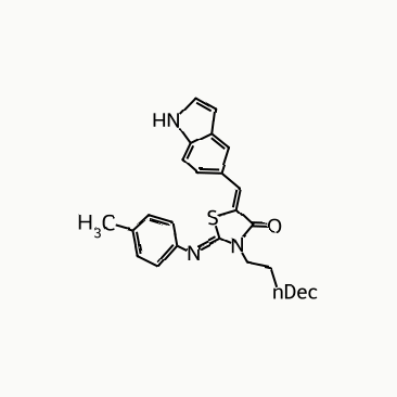 CCCCCCCCCCCCN1C(=O)/C(=C/c2ccc3[nH]ccc3c2)S/C1=N\c1ccc(C)cc1